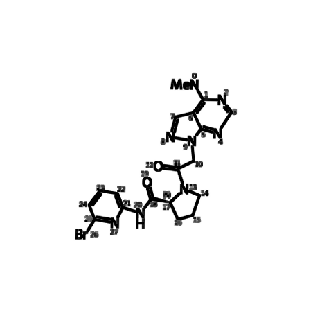 CNc1ncnc2c1cnn2CC(=O)N1CCC[C@H]1C(=O)Nc1cccc(Br)n1